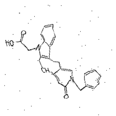 Cc1c(Cc2ccc(=O)n(Cc3ccccc3)c2)c2ccccc2n1CC(=O)O